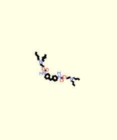 CCCCN(CCCC)CCOC(=O)NC1CCC(CC2CCC(NC(=O)OCCN(CCCC)CCCC)CC2)CC1